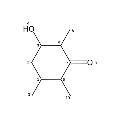 CC1CC(O)C(C)C(=O)C1C